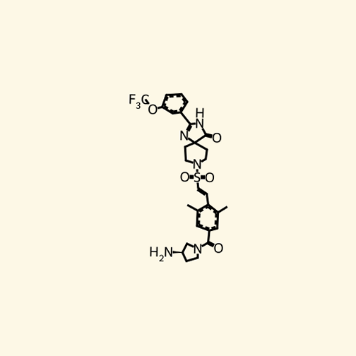 Cc1cc(C(=O)N2CC[C@@H](N)C2)cc(C)c1C=CS(=O)(=O)N1CCC2(CC1)N=C(c1cccc(OC(F)(F)F)c1)NC2=O